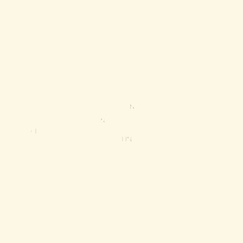 Oc1ccc(Nc2nccc(-c3cccc(Cl)c3)n2)cc1